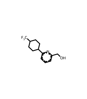 OCc1cccc(C2CCC(C(F)(F)F)CC2)n1